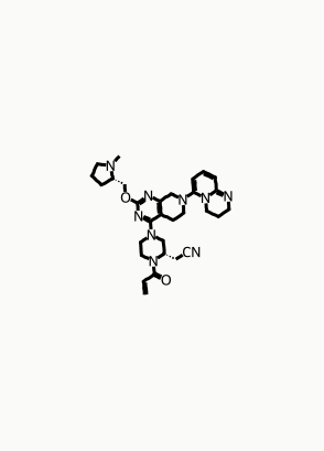 C=CC(=O)N1CCN(c2nc(OC[C@@H]3CCCN3C)nc3c2CCN(C2=CC=CC4=NCCCN24)C3)C[C@@H]1CC#N